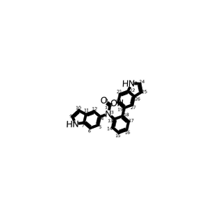 O=C(O)N(c1ccc2[nH]ccc2c1)c1ccccc1-c1ccc2[nH]ccc2c1